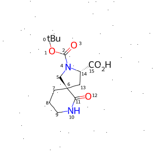 CC(C)(C)OC(=O)N1C[C@@]2(CCCNC2=O)C[C@H]1C(=O)O